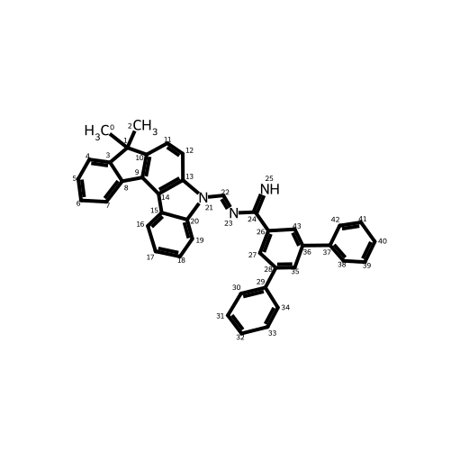 CC1(C)c2ccccc2-c2c1ccc1c2c2ccccc2n1/C=N/C(=N)c1cc(-c2ccccc2)cc(-c2ccccc2)c1